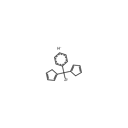 [H-].[Zr][C](C1=CC=CC1)(C1=CC=CC1)c1ccccc1